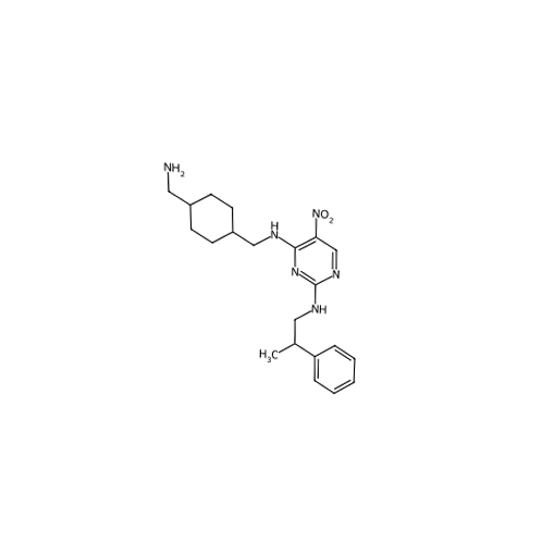 CC(CNc1ncc([N+](=O)[O-])c(NCC2CCC(CN)CC2)n1)c1ccccc1